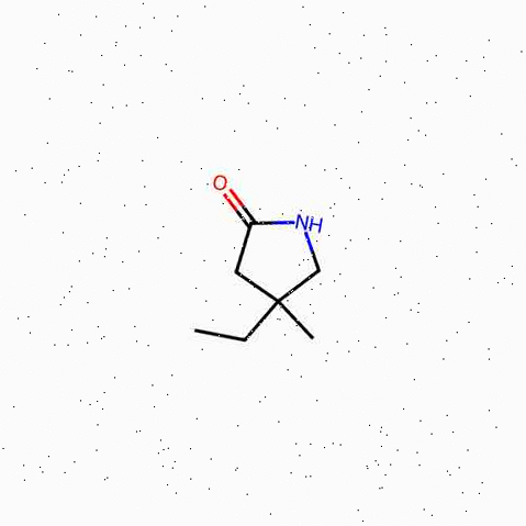 CCC1(C)CNC(=O)C1